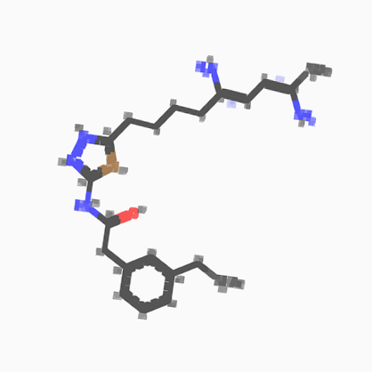 CN/C(N)=C/C=C(\N)CCCCc1nnc(NC(=O)Cc2cccc(CNC(C)=O)c2)s1